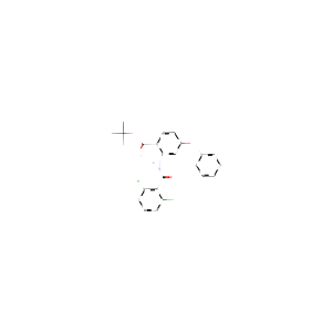 CC(C)(C)OC(=O)c1ccc(Oc2ccccc2)cc1NC(=O)c1c(Cl)cccc1Cl